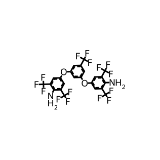 Nc1c(C(F)(F)F)cc(Oc2cc(Oc3cc(C(F)(F)F)c(N)c(C(F)(F)F)c3)cc(C(F)(F)F)c2)cc1C(F)(F)F